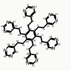 c1ncc(CCc2c(CCc3cncnc3)c(CCc3cncnc3)c(CCc3cncnc3)c(CCc3cncnc3)c2CCc2cncnc2)cn1